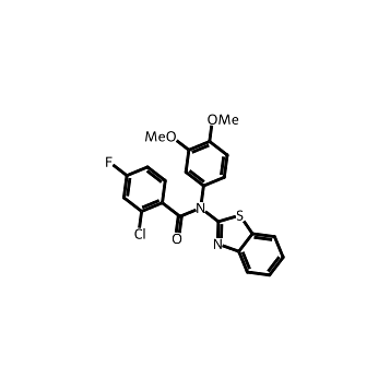 COc1ccc(N(C(=O)c2ccc(F)cc2Cl)c2nc3ccccc3s2)cc1OC